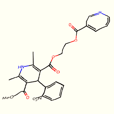 COC(=O)C1=C(C)NC(C)=C(C(=O)OCCOC(=O)c2cccnc2)C1c1ccccc1[N+](=O)[O-]